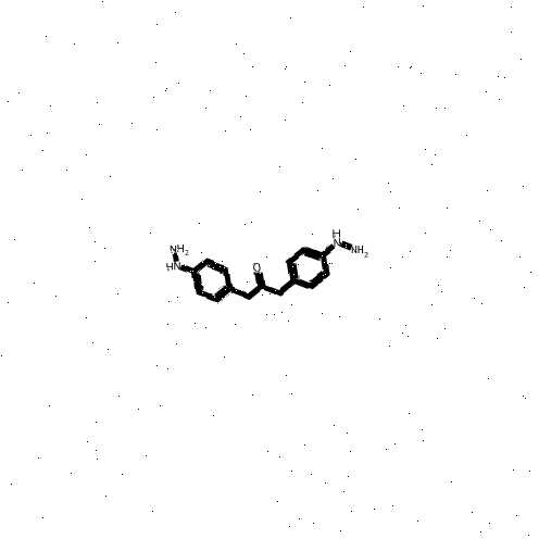 NNc1ccc(CC(=O)Cc2ccc(NN)cc2)cc1